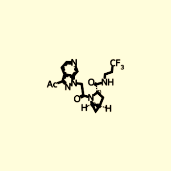 CC(=O)c1nn(CC(=O)N2[C@@H]3C[C@@H]3C[C@H]2C(=O)NCCC(F)(F)F)c2cnccc12